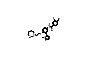 Cn1nccc1-c1cc(NC(=O)c2ccc(F)c(F)c2)ccc1OCCN1CCCCOC1